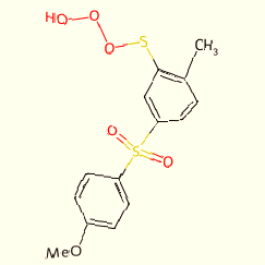 COc1ccc(S(=O)(=O)c2ccc(C)c(SOOO)c2)cc1